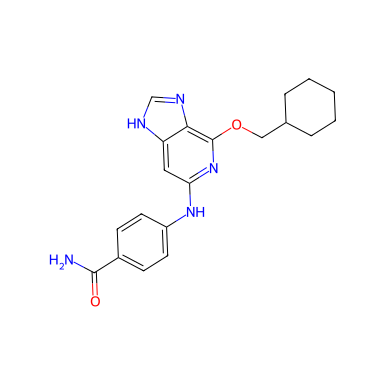 NC(=O)c1ccc(Nc2cc3[nH]cnc3c(OCC3CCCCC3)n2)cc1